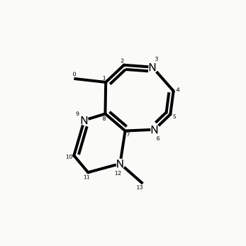 CC1=C=NC=C=NC2=C1N=CCN2C